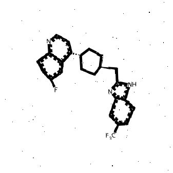 Fc1ccc2nccc([C@H]3CC[C@H](Cc4nc5cc(C(F)(F)F)ccc5[nH]4)CC3)c2c1